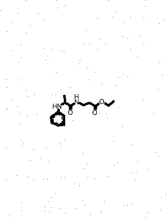 CCOC(=O)CCNC(=O)C(C)Nc1ccccc1